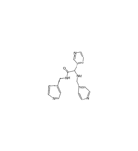 O=C(NCc1ccncc1)C(NCc1ccncc1)c1cccnc1